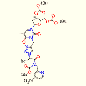 Cc1cn(C2C[C@H](OC(=O)OC(C)(C)C)C(COC(=O)OC(C)(C)C)O2)c(=O)n(Cc2cn(C(C(=O)N(Cc3cc([N+](=O)[O-])ccn3)C(=O)OC(C)(C)C)C(C)C)nn2)c1=O